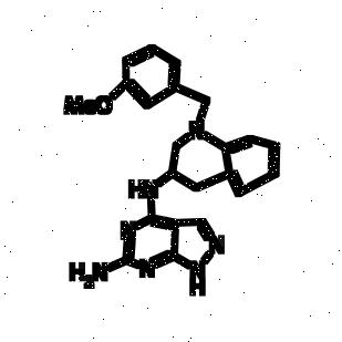 COc1cccc(CN2CC(Nc3nc(N)nc4[nH]ncc34)Cc3ccccc32)c1